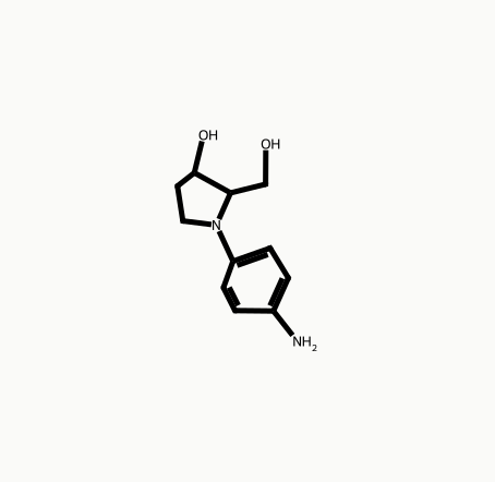 Nc1ccc(N2CCC(O)C2CO)cc1